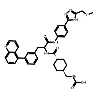 COCc1nnc(-c2ccc(NC(=O)[C@H](Cc3cccc(-c4cccc5ncccc45)c3)NC(=O)[C@H]3CC[C@H](CNC(=O)O)CC3)cc2)[nH]1